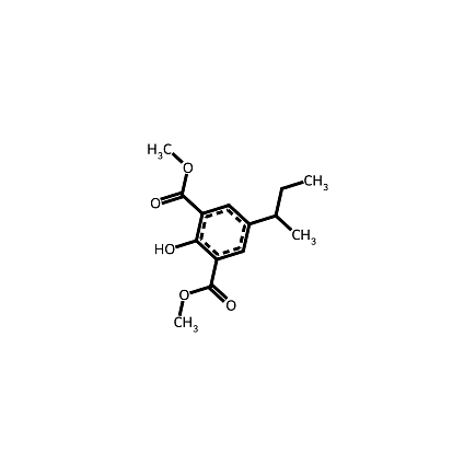 CCC(C)c1cc(C(=O)OC)c(O)c(C(=O)OC)c1